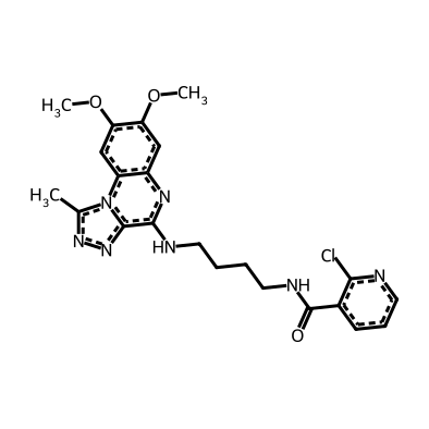 COc1cc2nc(NCCCCNC(=O)c3cccnc3Cl)c3nnc(C)n3c2cc1OC